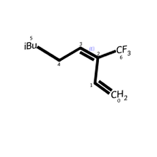 C=C/C(=C\CC(C)CC)C(F)(F)F